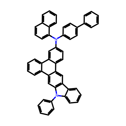 c1ccc(-c2ccc(N(c3ccc4c(c3)c3ccccc3c3cc5c(cc43)c3ccccc3n5-c3ccccc3)c3cccc4ccccc34)cc2)cc1